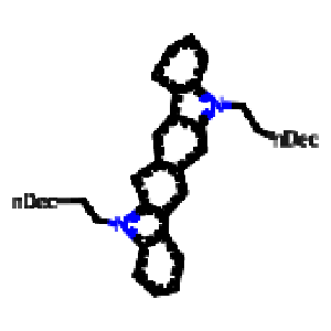 CCCCCCCCCCCCn1c2ccccc2c2cc3cc4c(cc3cc21)c1ccccc1n4CCCCCCCCCCCC